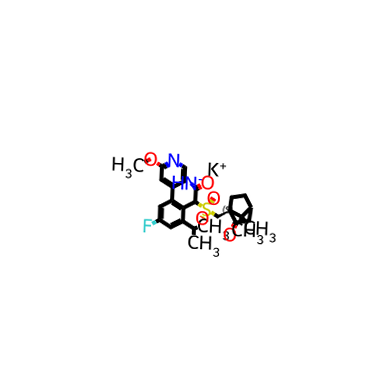 COc1cc(-c2cc(F)cc(C(C)C)c2C(C([NH-])=O)S(=O)(=O)C[C@]23CCC(CC2=O)C3(C)C)ccn1.[K+]